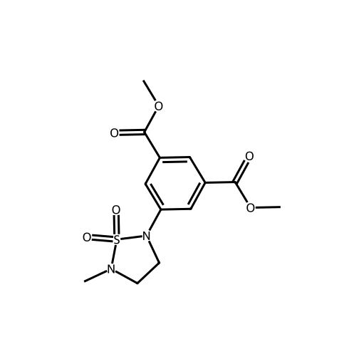 COC(=O)c1cc(C(=O)OC)cc(N2CCN(C)S2(=O)=O)c1